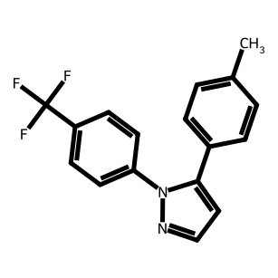 Cc1ccc(-c2ccnn2-c2ccc(C(F)(F)F)cc2)cc1